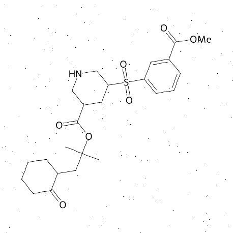 COC(=O)c1cccc(S(=O)(=O)C2CNCC(C(=O)OC(C)(C)CC3CCCCC3=O)C2)c1